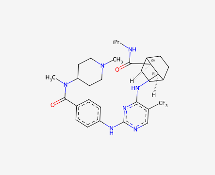 CC(C)NC(=O)[C@H]1C2CCC(CC2)[C@H]1Nc1nc(Nc2ccc(C(=O)N(C)C3CCN(C)CC3)cc2)ncc1C(F)(F)F